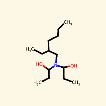 CCCCC(CC)CN(C(O)CC)C(O)CC